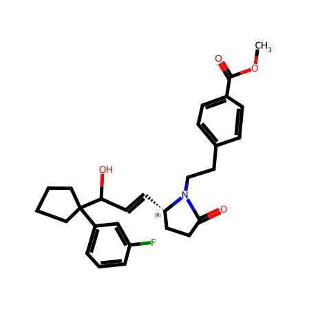 COC(=O)c1ccc(CCN2C(=O)CC[C@@H]2C=CC(O)C2(c3cccc(F)c3)CCCC2)cc1